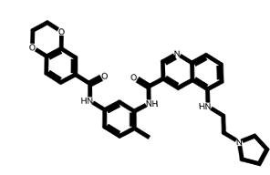 Cc1ccc(NC(=O)c2ccc3c(c2)OCCO3)cc1NC(=O)c1cnc2cccc(NCCN3CCCC3)c2c1